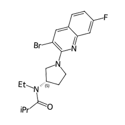 CCN(C(=O)C(C)C)[C@H]1CCN(c2nc3cc(F)ccc3cc2Br)C1